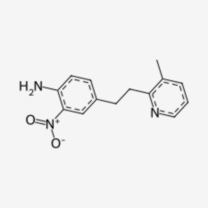 Cc1cccnc1CCc1ccc(N)c([N+](=O)[O-])c1